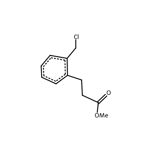 COC(=O)CCc1ccccc1CCl